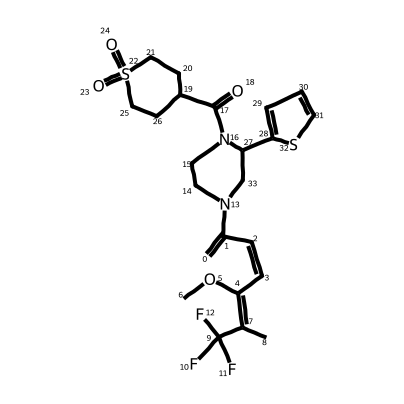 C=C(/C=C\C(OC)=C(/C)C(F)(F)F)N1CCN(C(=O)C2CCS(=O)(=O)CC2)C(c2cccs2)C1